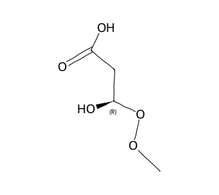 COO[C@@H](O)CC(=O)O